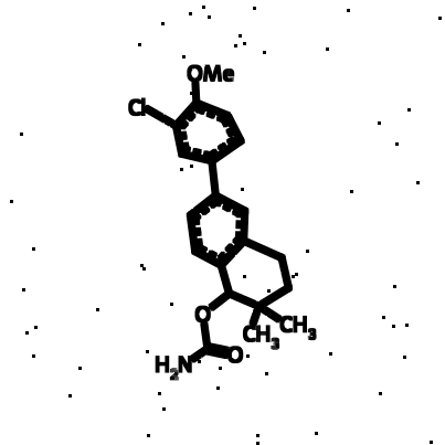 COc1ccc(-c2ccc3c(c2)CCC(C)(C)C3OC(N)=O)cc1Cl